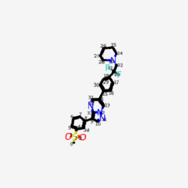 CS(=O)(=O)c1cccc(-c2cnn3cc(-c4ccc(C(F)(F)CN5CCCCC5)cc4)cnc23)c1